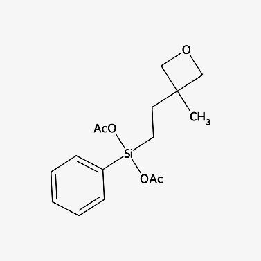 CC(=O)O[Si](CCC1(C)COC1)(OC(C)=O)c1ccccc1